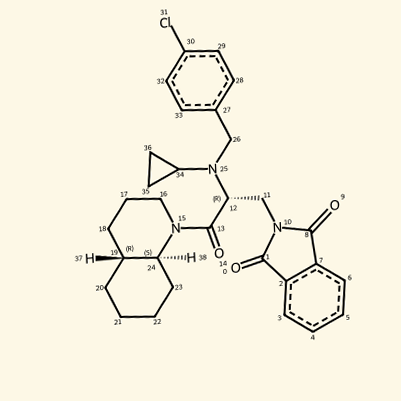 O=C1c2ccccc2C(=O)N1C[C@H](C(=O)N1CCC[C@H]2CCCC[C@@H]21)N(Cc1ccc(Cl)cc1)C1CC1